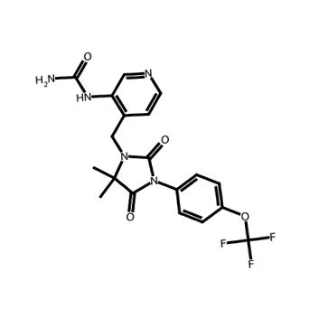 CC1(C)C(=O)N(c2ccc(OC(F)(F)F)cc2)C(=O)N1Cc1ccncc1NC(N)=O